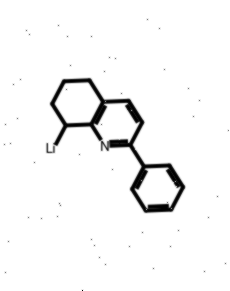 [Li][CH]1CCCc2ccc(-c3ccccc3)nc21